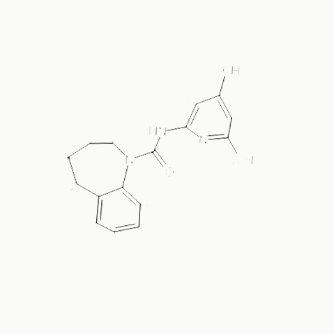 Cc1cc(C)nc(NC(=O)N2CCCCc3ccccc32)c1